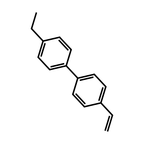 C=Cc1ccc(-c2ccc(CC)cc2)cc1